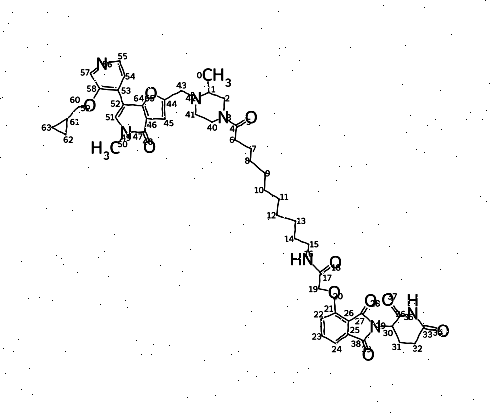 CC1CN(C(=O)CCCCCCCCCCNC(=O)COc2cccc3c2C(=O)N(C2CCC(=O)NC2=O)C3=O)CCN1Cc1cc2c(=O)n(C)cc(-c3ccncc3OCC3CC3)c2o1